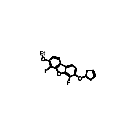 CCOc1ccc2c(oc3c(F)c(OC4CC=CC4)ccc32)c1F